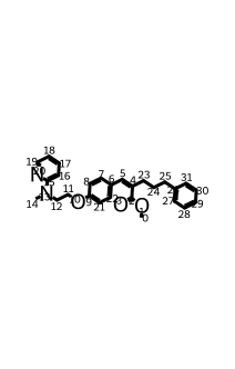 COC(=O)C(=Cc1ccc(OCCN(C)c2ccccn2)cc1)CCCc1ccccc1